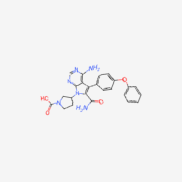 NC(=O)c1c(-c2ccc(Oc3ccccc3)cc2)c2c(N)ncnc2n1C1CCN(C(=O)O)C1